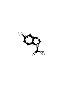 O=C(n1cnc2cc(C(F)(F)F)ccc21)C(F)(F)F